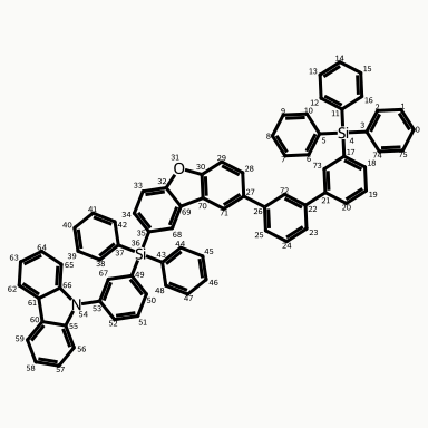 c1ccc([Si](c2ccccc2)(c2ccccc2)c2cccc(-c3cccc(-c4ccc5oc6ccc([Si](c7ccccc7)(c7ccccc7)c7cccc(-n8c9ccccc9c9ccccc98)c7)cc6c5c4)c3)c2)cc1